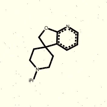 CC(C)N1CCC2(CC1)COc1ncccc12